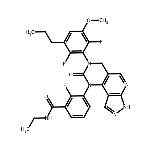 CCCc1cc(OC)c(F)c(N2Cc3cnc4[nH]ncc4c3N(c3cccc(C(=O)NCC)c3F)C2=O)c1F